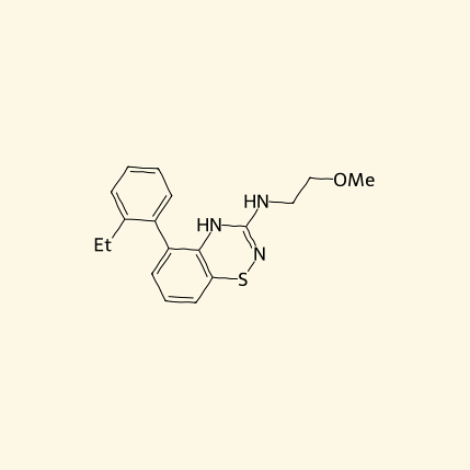 CCc1ccccc1-c1cccc2c1NC(NCCOC)=NS2